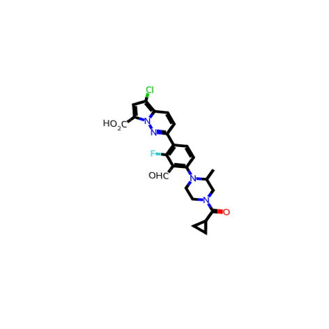 CC1CN(C(=O)C2CC2)CCN1c1ccc(-c2ccc3c(Cl)cc(C(=O)O)n3n2)c(F)c1C=O